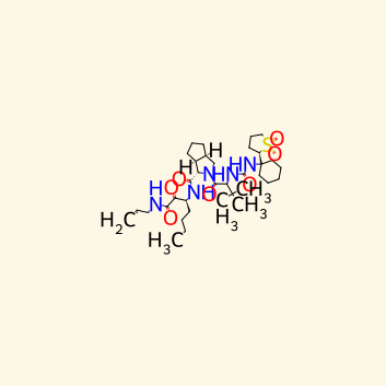 C=CCNC(=O)C(=O)[C@H](CCCC)NC(=O)[C@@H]1[C@H]2CCC[C@H]2CN1C(=O)[C@@H](NC(=O)NC1([C@H]2CCCS2(=O)=O)CCCCC1)C(C)(C)C